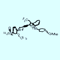 COCCN1CCC(Nc2cccc3c(CC(F)(F)F)c(C#CCNc4ccc(S(C)(=O)=O)cc4OCC(F)(F)F)sc23)CC1